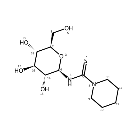 OC[C@H]1O[C@@H](NC(=S)N2CCCCC2)[C@H](O)[C@@H](O)[C@@H]1O